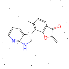 C=C1Oc2c(ccc(C)c2-c2c[nH]c3ncccc23)C1=O